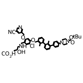 Cc1c(COc2cc(OCc3cncc(C#N)c3)c(CNCC(O)CC(=O)O)cc2Cl)cccc1-c1cccc(-c2ccc(N3CCN(C(=O)OC(C)(C)C)CC3)cc2)c1C